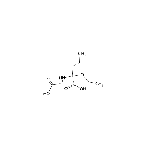 CCCC(NCC(=O)O)(OCC)C(=O)O